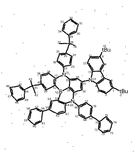 CC(C)(C)c1ccc2c(c1)c1cc(C(C)(C)C)ccc1n2-c1cc2c3c(c1)N(c1ccc(C(C)(C)c4ccccc4)cc1)c1ccc(C(C)(C)c4ccccc4)cc1B3c1cc(-c3ccccc3)ccc1N2c1ccc(-c2ccccc2)cc1